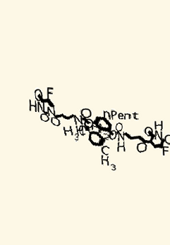 C=C(C)[C@@H]1CCC(C)=C[C@H]1c1c(OC(=O)NCCCC(=O)C2C=C(F)C(=O)NC2=O)cc(CCCCC)cc1OC(=O)NCCCC(=O)n1cc(F)c(=O)[nH]c1=O